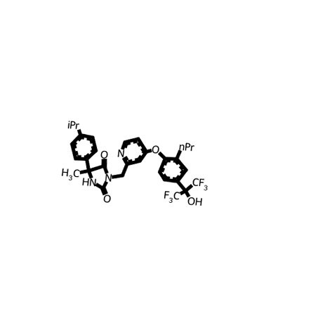 CCCc1cc(C(O)(C(F)(F)F)C(F)(F)F)ccc1Oc1ccnc(CN2C(=O)NC(C)(c3ccc(C(C)C)cc3)C2=O)c1